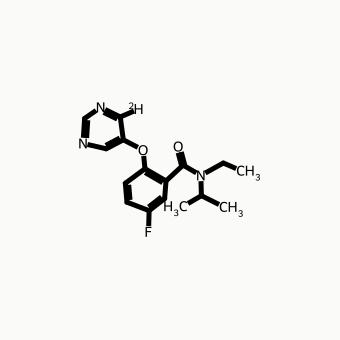 [2H]c1ncncc1Oc1ccc(F)cc1C(=O)N(CC)C(C)C